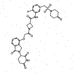 O=C1CCN(S(=O)(=O)Cc2ccc(F)c(NC(=O)C3CN(C(=O)COc4cccc5c4CN(C4CCC(=O)NC4=O)C5=O)C3)c2)CC1